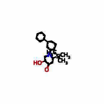 C[Si](C)(C)c1cc(=O)c(O)cn1-c1cccc(-c2ccccc2)c1